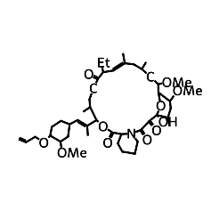 C=CCOC1CCC(C=C(C)C2OC(=O)C3CCCCN3C(=O)C(=O)C3(O)OC(C(OC)CC(C)C/C(C)=C/C(CC)C(=O)CCC2C)C(OC)CC3C)CC1OC